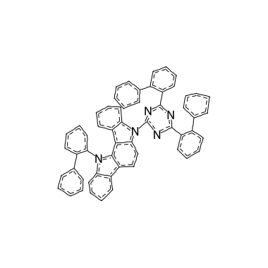 c1ccc(-c2ccccc2-c2nc(-c3ccccc3-c3ccccc3)nc(-n3c4ccccc4c4c3ccc3c5ccccc5n(-c5ccccc5-c5ccccc5)c34)n2)cc1